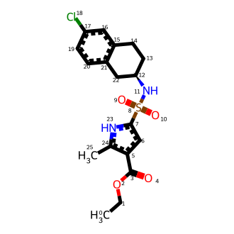 CCOC(=O)c1cc(S(=O)(=O)N[C@@H]2CCc3cc(Cl)ccc3C2)[nH]c1C